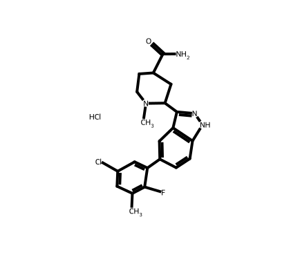 Cc1cc(Cl)cc(-c2ccc3[nH]nc(C4CC(C(N)=O)CCN4C)c3c2)c1F.Cl